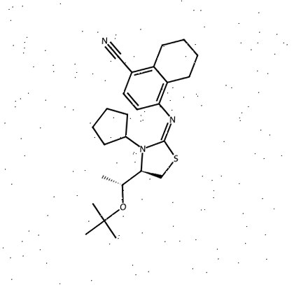 C[C@@H](OC(C)(C)C)[C@@H]1CSC(=Nc2ccc(C#N)c3c2CCCC3)N1C1CCCC1